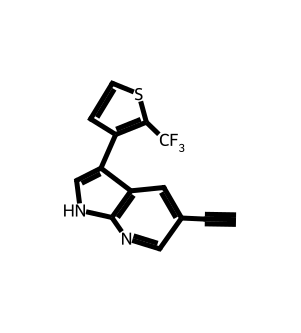 C#Cc1cnc2[nH]cc(-c3ccsc3C(F)(F)F)c2c1